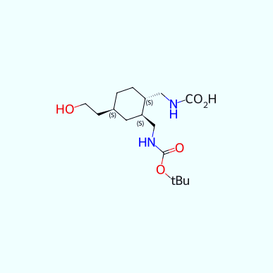 CC(C)(C)OC(=O)NC[C@H]1C[C@@H](CCO)CC[C@@H]1CNC(=O)O